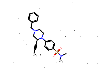 CC#CC1CN(Cc2ccccc2)CCN1c1ccc(S(=O)(=O)N(C)C)cc1